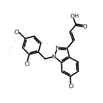 O=C(O)C=Cc1nn(Cc2ccc(Cl)cc2Cl)c2cc(Cl)ccc12